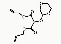 C=CCOC(=O)C(OC1COCCO1)C(=O)OCC=C